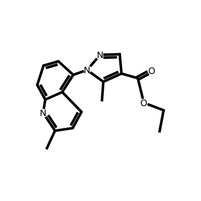 CCOC(=O)c1cnn(-c2cccc3nc(C)ccc23)c1C